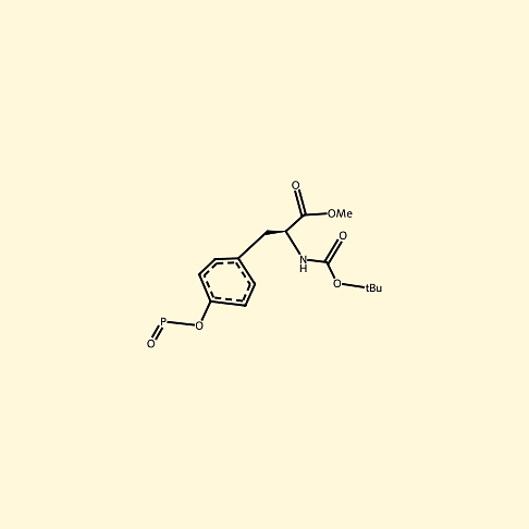 COC(=O)[C@H](Cc1ccc(OP=O)cc1)NC(=O)OC(C)(C)C